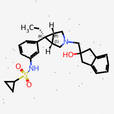 CC[C@]1(c2cccc(NS(=O)(=O)C3CC3)c2)[C@@H]2CN(CC3(O)Cc4ccccc4C3)C[C@@H]21